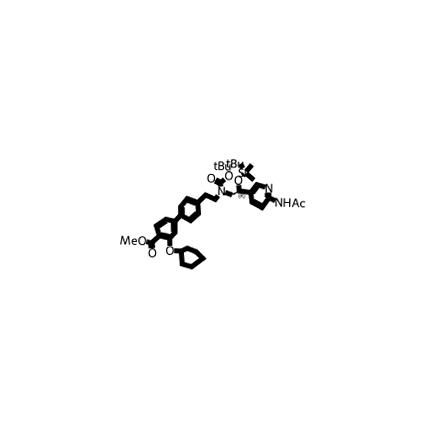 COC(=O)c1ccc(-c2ccc(CCN(C[C@H](O[Si](C)(C)C(C)(C)C)c3ccc(NC(C)=O)nc3)C(=O)OC(C)(C)C)cc2)cc1OC1CCCCC1